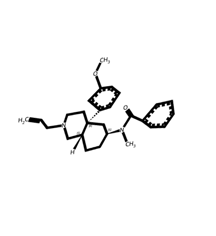 C=CCN1CC[C@@]2(c3cccc(OC)c3)C[C@@H](N(C)C(=O)c3ccccc3)CC[C@@H]2C1